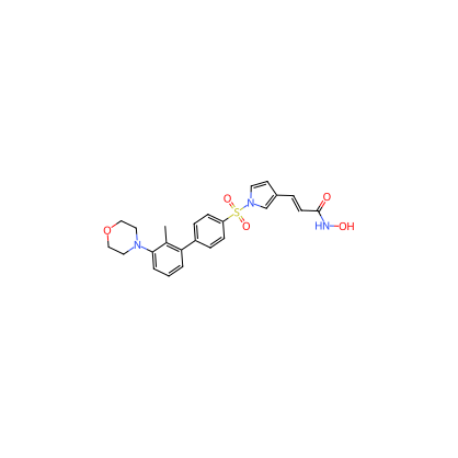 Cc1c(-c2ccc(S(=O)(=O)n3ccc(C=CC(=O)NO)c3)cc2)cccc1N1CCOCC1